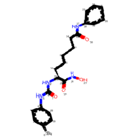 CC(C)(C)c1ccc(NC(=O)N[C@@H](CCCCCC(=O)Nc2ccccc2)C(=O)NO)cc1